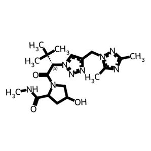 CNC(=O)C1CC(O)CN1C(=O)[C@@H](n1cc(Cn2nc(C)nc2C)nn1)C(C)(C)C